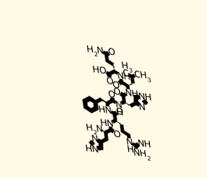 CC(C)C[C@H](NC(=O)[C@H](Cc1c[nH]cn1)NC(=O)[C@H](Cc1ccccc1)NC(=O)[C@H](CCCNC(=N)N)NC(=O)[C@@H](N)Cc1c[nH]cn1)C(=O)N[C@@H](CCC(N)=O)C(=O)O